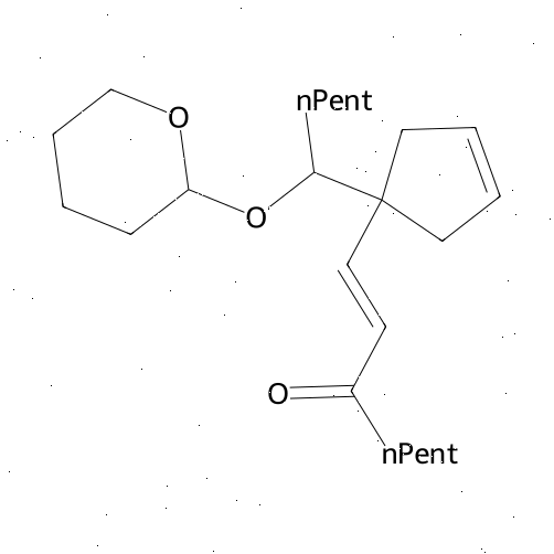 CCCCCC(=O)C=CC1(C(CCCCC)OC2CCCCO2)CC=CC1